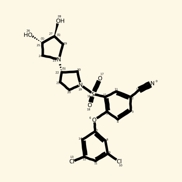 N#Cc1ccc(Oc2cc(Cl)cc(Cl)c2)c(S(=O)(=O)N2CC[C@H](N3C[C@H](O)[C@@H](O)C3)C2)c1